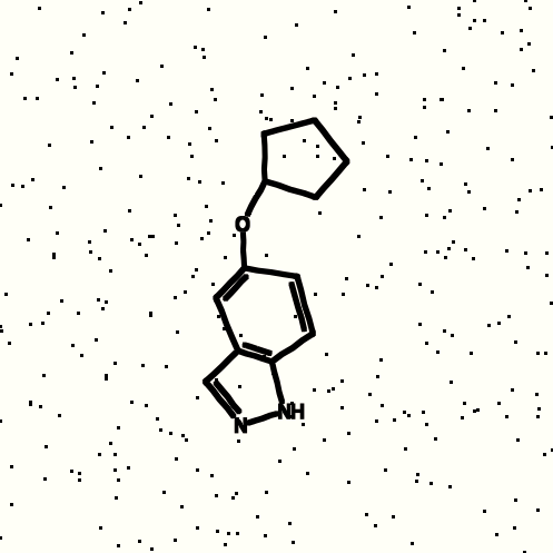 c1cc2[nH]ncc2cc1OC1CCCC1